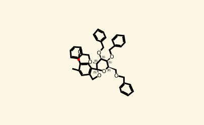 Cc1cc2c(cc1CCl)[C@]1(OC2)O[C@H](COCc2ccccc2)[C@H](OCc2ccccc2)[C@H](OCc2ccccc2)[C@H]1OCc1ccccc1